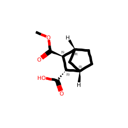 COC(=O)[C@H]1[C@@H]2CC[C@@H](C2)[C@@H]1C(=O)O